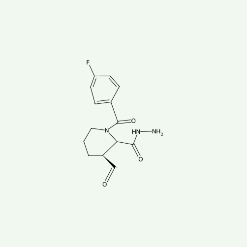 NNC(=O)C1[C@@H]([C]=O)CCCN1C(=O)c1ccc(F)cc1